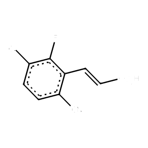 N#Cc1ccc(Cl)c(F)c1/C=C/C(=O)O